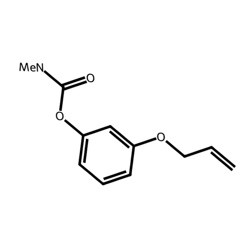 C=CCOc1cccc(OC(=O)NC)c1